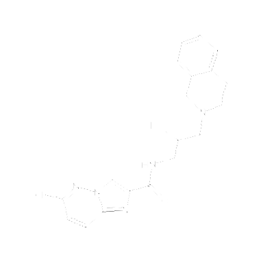 O=C(NCC(O)CN1CCc2ccccc2C1)c1cn2nc(Cl)ccc2n1